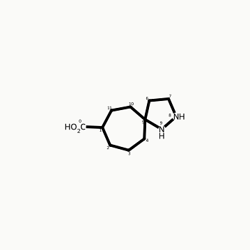 O=C(O)C1CCCC2(CCNN2)CC1